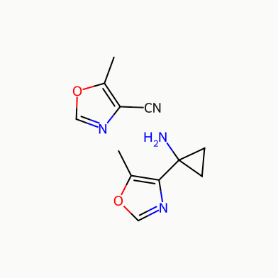 Cc1ocnc1C#N.Cc1ocnc1C1(N)CC1